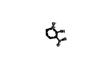 O=[N+]([O-])c1ccc[n+]([O-])c1S